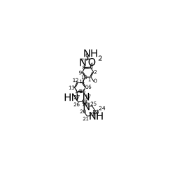 Cc1cc2oc(N)nc2cc1-c1ccc2c(c1)N=C(N1CCN[C@@H](C)C1)CN2